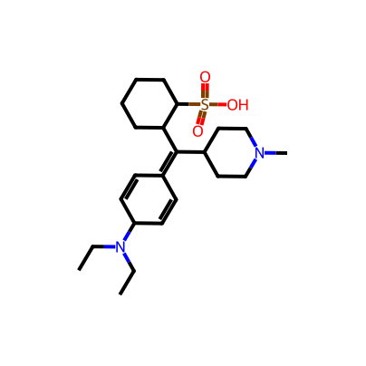 CCN(CC)C1C=CC(=C(C2CCN(C)CC2)C2CCCCC2S(=O)(=O)O)C=C1